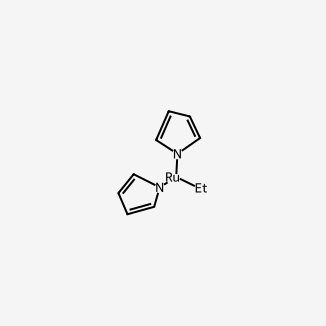 C[CH2][Ru]([n]1cccc1)[n]1cccc1